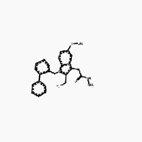 CCc1c(CC(=O)NN)c2cc(OC)ccc2n1Cc1ccccc1-c1ccccc1